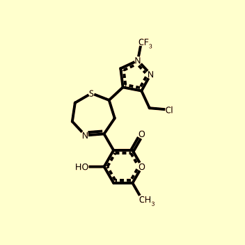 Cc1cc(O)c(C2=NCCSC(c3cn(C(F)(F)F)nc3CCl)C2)c(=O)o1